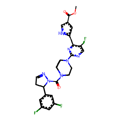 COC(=O)c1c[nH]c(-c2nc(N3CCN(C(=O)N4N=CCC4c4cc(F)cc(F)c4)CC3)ncc2F)c1